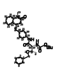 C[C@H](OCc1ccccc1)[C@@H](NC(=O)OC(C)(C)C)C(=O)Nc1ccc(Sc2cc(=O)n(C)c3ccccc23)cc1